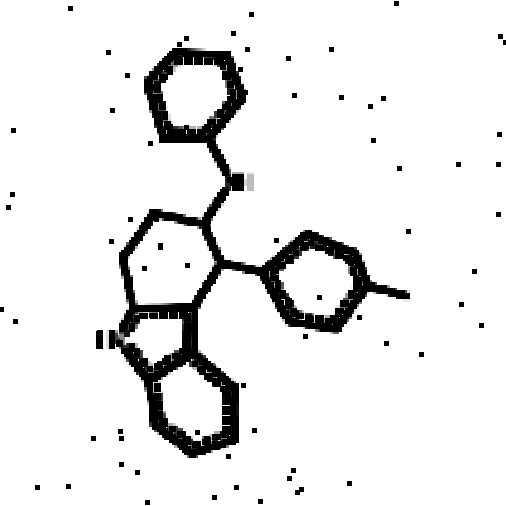 Cc1ccc(C2c3c([nH]c4ccccc34)CCC2Nc2ccccc2)cc1